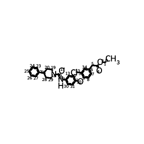 CCOC(=O)Cc1ccc(Oc2ccc(NC(=O)N3CCC(c4ccccc4)CC3)cc2)c(Cl)c1